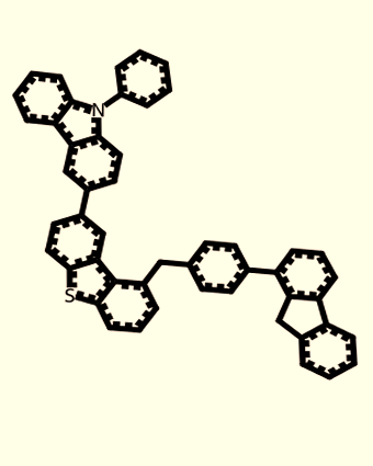 c1ccc(-n2c3ccccc3c3cc(-c4ccc5sc6cccc(Cc7ccc(-c8cccc9c8Cc8ccccc8-9)cc7)c6c5c4)ccc32)cc1